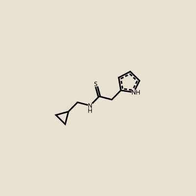 S=C(Cc1ccc[nH]1)NCC1CC1